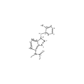 CC(=O)N(C)c1ncnc2c1nnn2Cc1ccccc1F